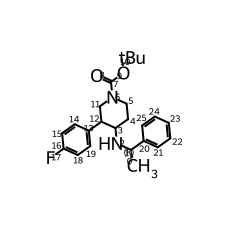 C[C@@H](NC1CCN(C(=O)OC(C)(C)C)CC1c1ccc(F)cc1)c1ccccc1